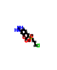 NNc1ccc2cc(S(=O)(=O)CCCCCl)c(=O)oc2c1